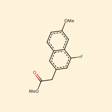 COC(=O)Cc1cc(F)c2cc(OC)ccc2c1